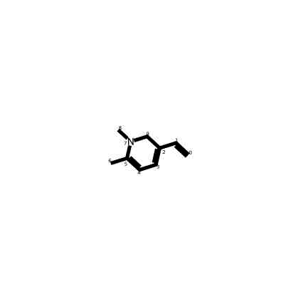 C=CC1=CC=C(C)N(C)C1